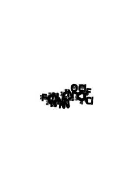 O=C(c1ccc(Cl)c(F)c1Cl)N1CCc2c(nnn2-c2ncc(F)cn2)C1